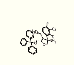 N[C@@]1(c2ccc(F)c(Cl)c2F)CO[C@H](COC(c2ccccc2)(c2ccccc2)c2ccccc2)[C@H]1CO